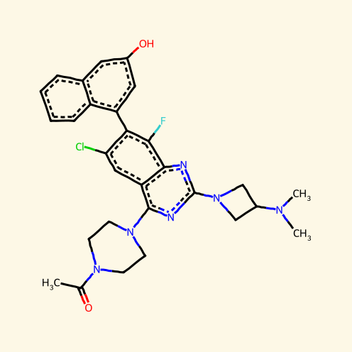 CC(=O)N1CCN(c2nc(N3CC(N(C)C)C3)nc3c(F)c(-c4cc(O)cc5ccccc45)c(Cl)cc23)CC1